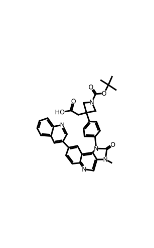 Cn1c(=O)n(-c2ccc(C3(CC(=O)O)CN(C(=O)OC(C)(C)C)C3)cc2)c2c3cc(-c4cnc5ccccc5c4)ccc3ncc21